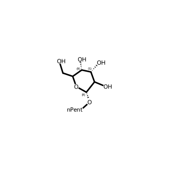 CCCCCO[C@@H]1OC(CO)[C@H](O)[C@H](O)C1O